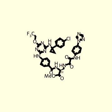 COC(=O)[C@H](CNC(=O)C(=O)Nc1ccc(-n2cncn2)cc1)NC(=O)c1ccc(Nc2nc(NC3(c4ccc(Cl)cc4)CC3)nc(OCC(F)(F)F)n2)cc1